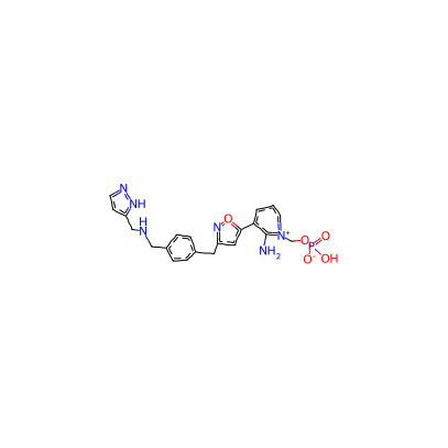 Nc1c(-c2cc(Cc3ccc(CNCc4ccn[nH]4)cc3)no2)ccc[n+]1COP(=O)([O-])O